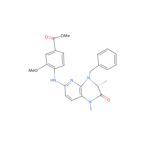 COC(=O)c1ccc(Nc2ccc3c(n2)N(Cc2ccccc2)[C@H](C)C(=O)N3C)c(OC)c1